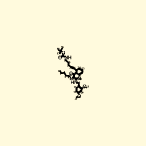 CCCCc1nc2c(NCc3ccc(OC)cc3OC)nc3cccc(C#CCCCNC(=O)OC(C)(C)C)c3c2o1